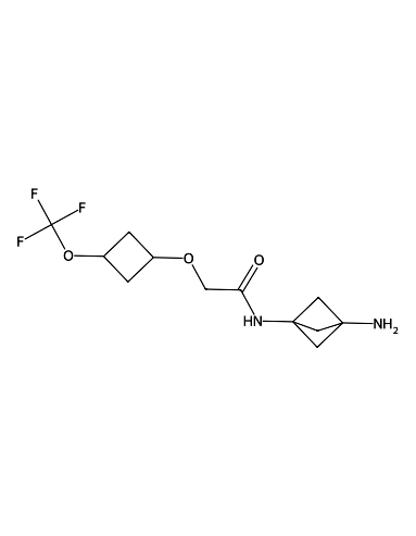 NC12CC(NC(=O)COC3CC(OC(F)(F)F)C3)(C1)C2